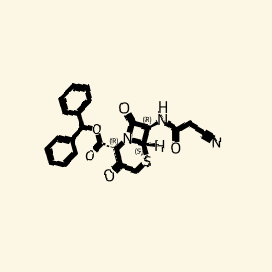 N#CCC(=O)N[C@@H]1C(=O)N2[C@@H](C(=O)OC(c3ccccc3)c3ccccc3)C(=O)CS[C@@H]12